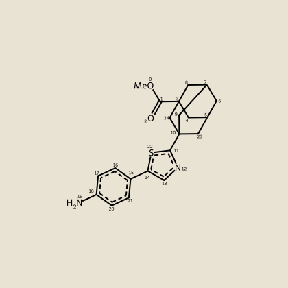 COC(=O)C12CC3CC(C1)CC(c1ncc(-c4ccc(N)cc4)s1)(C3)C2